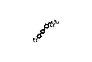 CCCCC(CC)CC1CCC(c2ccc(-c3ccc(CC)cc3)cc2)CC1